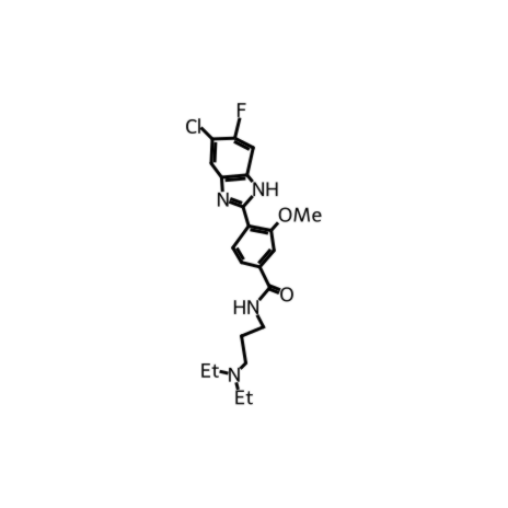 CCN(CC)CCCNC(=O)c1ccc(-c2nc3cc(Cl)c(F)cc3[nH]2)c(OC)c1